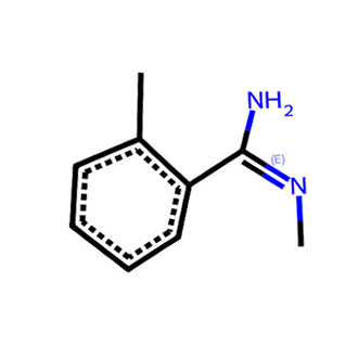 C/N=C(/N)c1ccccc1C